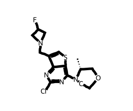 C[C@@H]1COCCN1c1nc(Cl)nc2c(CN3CC(F)C3)csc12